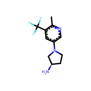 Cc1ncc(N2CC[C@@H](N)C2)cc1C(F)(F)F